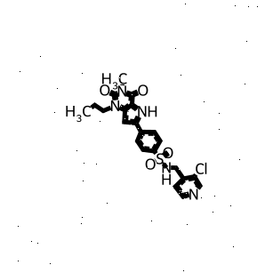 CCCn1c(=O)n(C)c(=O)c2[nH]c(-c3ccc(S(=O)(=O)NCc4ccncc4Cl)cc3)cc21